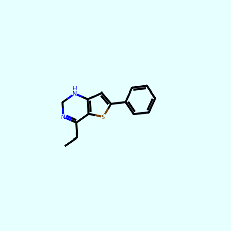 CCC1=NCNc2cc(-c3ccccc3)sc21